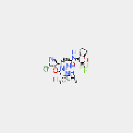 CC1(C)CC(=O)N(C(c2cncc(Cl)c2)[C@@H]2C[C@H]2C(=O)N[C@H]2C[C@H](C(F)(F)F)Oc3ccccc32)C(=N)N1